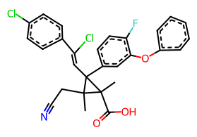 CC1(CC#N)C(C)(C(=O)O)C1(C=C(Cl)c1ccc(Cl)cc1)c1ccc(F)c(Oc2ccccc2)c1